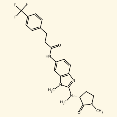 CN1CC[C@@H](N(C)c2nc3ccc(NC(=O)CCc4ccc(C(F)(F)F)cc4)cc3n2C)C1=O